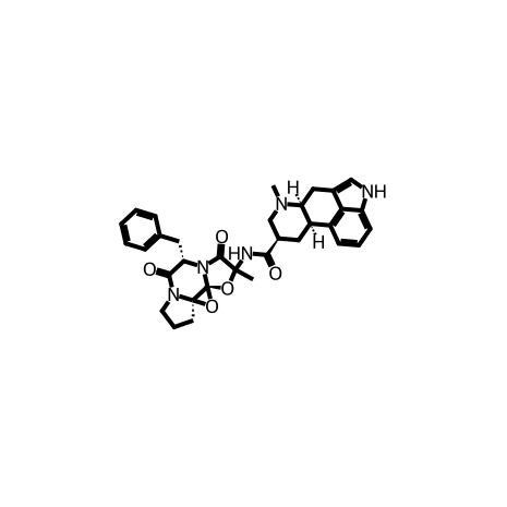 CN1C[C@H](C(=O)NC2(C)O[C@@]34O[C@]35CCCN5C(=O)[C@H](Cc3ccccc3)N4C2=O)C[C@@H]2c3cccc4[nH]cc(c34)C[C@@H]21